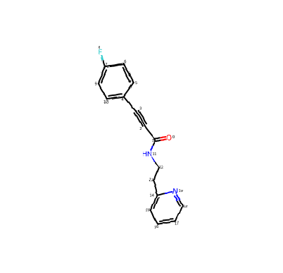 O=C(C#Cc1ccc(F)cc1)NCCc1ccccn1